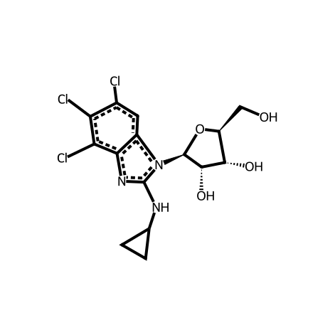 OC[C@@H]1O[C@H](n2c(NC3CC3)nc3c(Cl)c(Cl)c(Cl)cc32)[C@@H](O)[C@H]1O